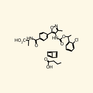 CCCC(=O)O.Cc1noc(-c2ccc(C(=O)NC(C)C(=O)O)cc2)c1NC(=O)OC(C)c1ccccc1Cl.c1cc2ccc1-2